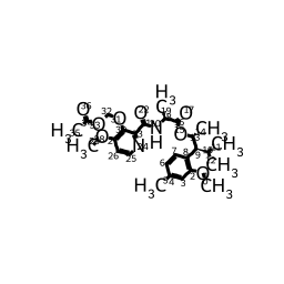 COc1cc(C)ccc1[C@H](C(C)C)[C@H](C)OC(=O)[C@H](C)NC(=O)c1nccc(OC)c1OCOC(C)=O